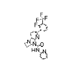 O=C(Nc1ccccn1)N1c2nc(-c3cccc(C(F)(F)F)c3F)ccc2N2CCC21